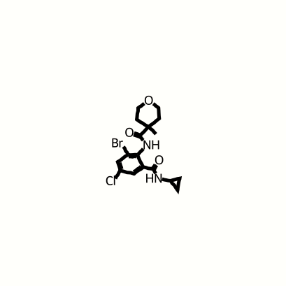 CC1(C(=O)Nc2c(Br)cc(Cl)cc2C(=O)NC2CC2)CCOCC1